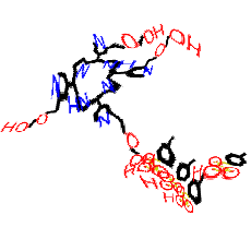 Cc1ccc(S(=O)(=O)O)cc1.Cc1ccc(S(=O)(=O)O)cc1.Cc1ccc(S(=O)(=O)O)cc1.Cc1ccc(S(=O)(=O)O)cc1.OCCOCCc1cc(-c2c3nc(c(-c4ccnc(CCOCCO)c4)c4ccc([nH]4)c(-c4ccnc(CCOCCO)c4)c4nc(c(-c5ccnc(CCOCCO)c5)c5ccc2[nH]5)C=C4)C=C3)ccn1